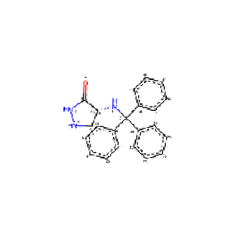 O=C1NNC[C@H]1NC(c1ccccc1)(c1ccccc1)c1ccccc1